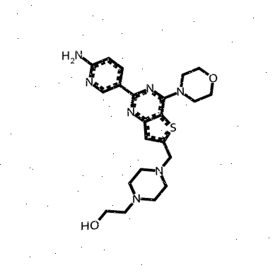 Nc1ccc(-c2nc(N3CCOCC3)c3sc(CN4CCN(CCO)CC4)cc3n2)cn1